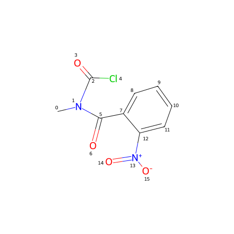 CN(C(=O)Cl)C(=O)c1ccccc1[N+](=O)[O-]